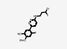 CCC(F)CCNc1ccc(-c2cc(C#N)c(OC)cc2F)nn1